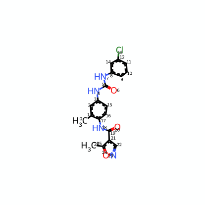 Cc1cc(NC(=O)Nc2cccc(Cl)c2)ccc1NC(=O)c1cnoc1C